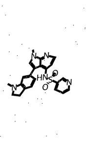 CN1CCc2ccc(-c3cn(C)c4nccc(NS(=O)(=O)c5cccnc5)c34)cc21